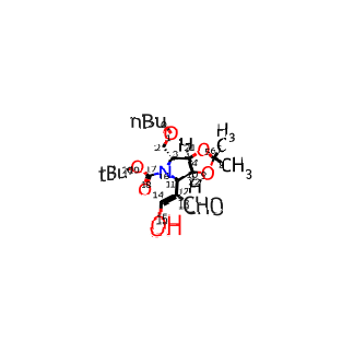 CCCCOC[C@@H]1[C@H]2OC(C)(C)O[C@H]2C(/C(C=O)=C/O)N1C(=O)OC(C)(C)C